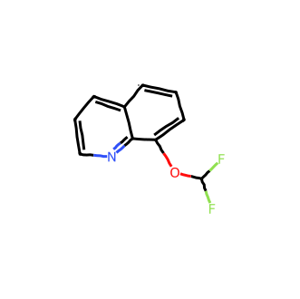 FC(F)Oc1cc[c]c2cccnc12